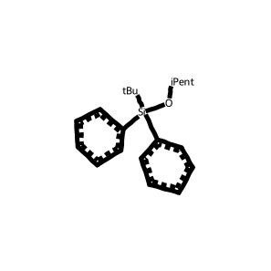 CCCC(C)O[Si](c1ccccc1)(c1ccccc1)C(C)(C)C